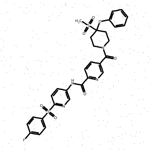 CS(=O)(=O)C1(Oc2ccccc2)CCN(C(=O)c2ccc(C(=O)Nc3ccc(S(=O)(=O)c4ccc(F)cc4)nc3)nc2)CC1